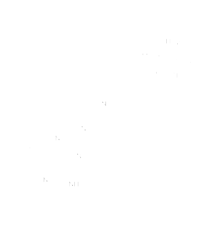 Cc1nc(N2CCN(c3ccc(O[Si](C)(C)C(C)(C)C)cc3)CC2)nc2[nH]cnc12